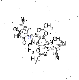 CC(=O)Oc1c2c(c(OC(C)=O)c3c1N(C)C(=C(C#N)C#N)S3)N(C)/C(=C1/C=C(C#N)C(=O)NC1=O)S2